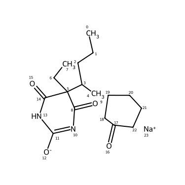 CCCC(C)C1(CC)C(=O)N=C([O-])NC1=O.O=C1CCCCC1.[Na+]